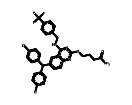 NC(=O)CCCOc1nc(NCc2ccc(C(F)(F)F)cc2)c2cc(C(c3ccc(Cl)cc3)c3ccc(Cl)cc3)ccc2n1